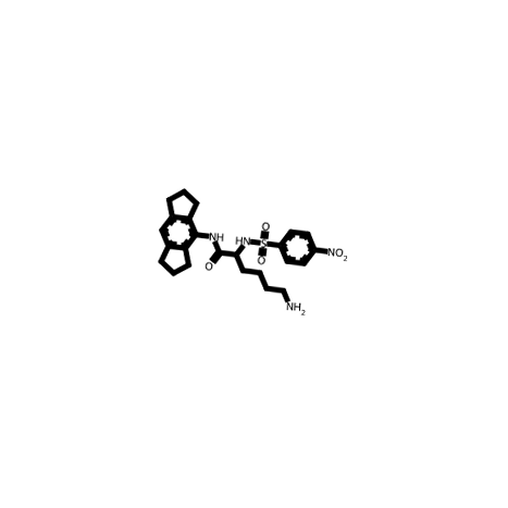 NCCCCC(NS(=O)(=O)c1ccc([N+](=O)[O-])cc1)C(=O)Nc1c2c(cc3c1CCC3)CCC2